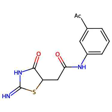 CC(=O)c1cccc(NC(=O)CC2SC(=N)NC2=O)c1